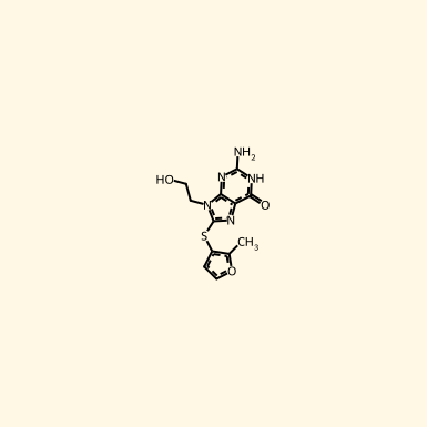 Cc1occc1Sc1nc2c(=O)[nH]c(N)nc2n1CCO